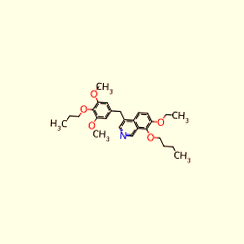 CCCCOc1c(OCC)ccc2c(Cc3cc(OC)c(OCCC)c(OC)c3)cncc12